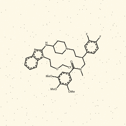 COc1cc(C(=O)N(C)CC(CCN2CCC(Nc3nc4ccccc4n3CCOCC(F)(F)F)CC2)c2ccc(F)c(F)c2)cc(OC)c1OC